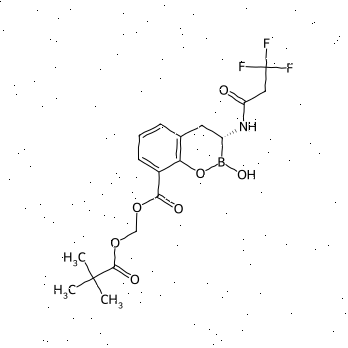 CC(C)(C)C(=O)OCOC(=O)c1cccc2c1OB(O)[C@@H](NC(=O)CC(F)(F)F)C2